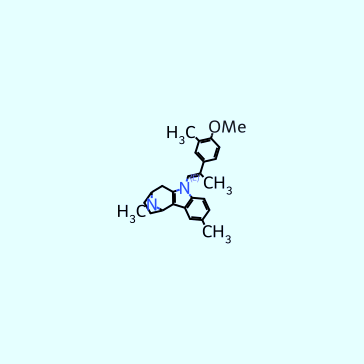 COc1ccc(/C(C)=C/n2c3c(c4cc(C)ccc42)C2CCC(C3)N2C)cc1C